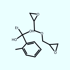 C(OCC1CO1)C1CO1.CCC(O)(O)c1ccccc1C